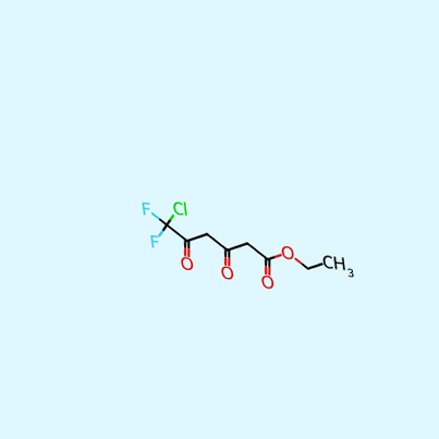 CCOC(=O)CC(=O)CC(=O)C(F)(F)Cl